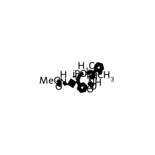 COC(=O)NC[C@H]1C[C@@H](C2c3cccc(c3)S(=O)(=O)Nc3nc(cc(-c4c(C)cccc4C)n3)OC[C@H]2CC(C)C)C1